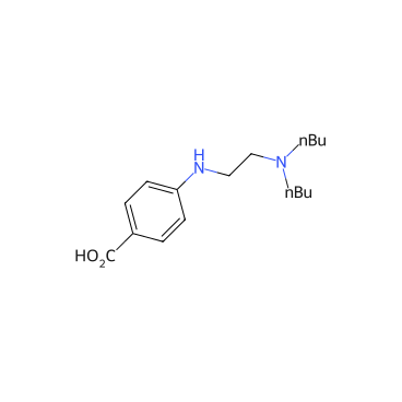 CCCCN(CCCC)CCNc1ccc(C(=O)O)cc1